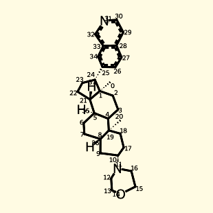 C[C@]12CCC3[C@@H](CC[C@H]4C[C@@H](N5CCOCC5)CC[C@]34C)[C@@H]1CC[C@@H]2c1ccc2ccncc2c1